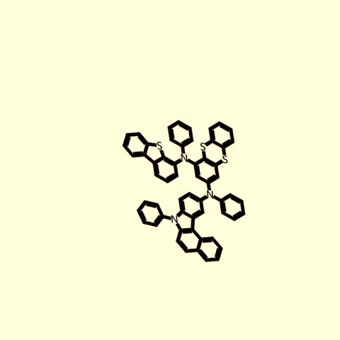 c1ccc(N(c2cc3c(c(N(c4ccccc4)c4cccc5c4sc4ccccc45)c2)Sc2ccccc2S3)c2ccc3c(c2)c2c4ccccc4ccc2n3-c2ccccc2)cc1